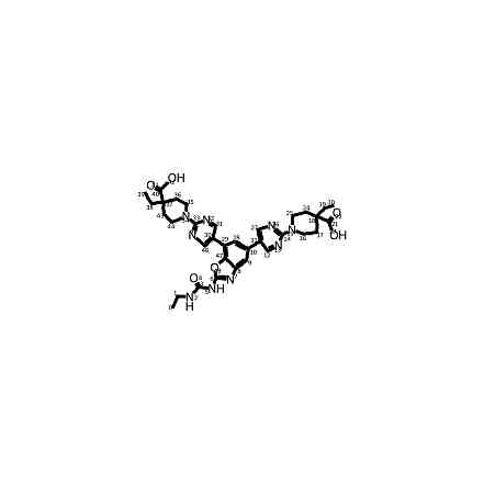 CCNC(=O)Nc1nc2cc(-c3cnc(N4CCC(CC)(C(=O)O)CC4)nc3)cc(-c3cnc(N4CCC(CC)(C(=O)O)CC4)nc3)c2o1